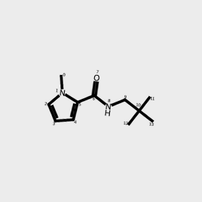 Cn1cccc1C(=O)NCC(C)(C)C